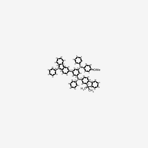 COc1ccc(N(c2ccccc2)c2cc(-c3ccc4c(c3)c3ccccc3n4-c3ccccc3)cc(N(c3ccccc3)c3ccc4c(c3)C(C)(C)c3ccccc3-4)c2)cc1